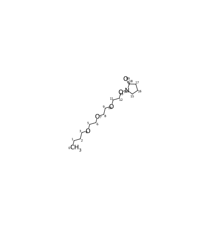 CCCCOCCOCCOCCON1CCCC1=O